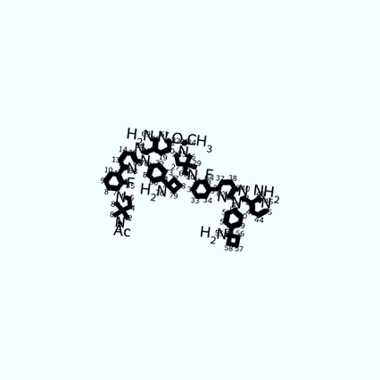 CC(=O)N1CC2(CCN(c3cccc(-c4ccc5nc(-c6ccc(OC(C)N7CCC8(CN(c9cccc(-c%10ccc%11nc(-c%12cccnc%12N)n(-c%12ccc(C%13(N)CCC%13)cc%12)c%11n%10)c9F)C8)C7)nc6N)n(-c6ccc(C7(N)CCC7)cc6)c5n4)c3F)C2)C1